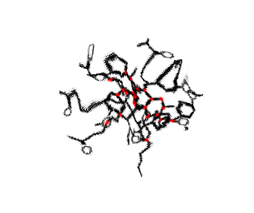 CCCCCC(=O)CCC(C(C(CCN(CC)C(C)Cc1ccc(OC)cc1)C(CCC(=O)C(C)C)N(CC)C(C)Cc1ccc(OC)cc1)C(C(CCCCCC(C)=O)N(CC)C(C)Cc1ccc(OC)cc1)C(C(C)=O)(C(CCCCCCC(C)=O)N(CC)C(C)Cc1cccc(OC)c1)C(CCCCCC(C)=O)N(CC)C(C)Cc1ccc(OC)cc1)N(CC)C(C)Cc1ccc(OC)cc1